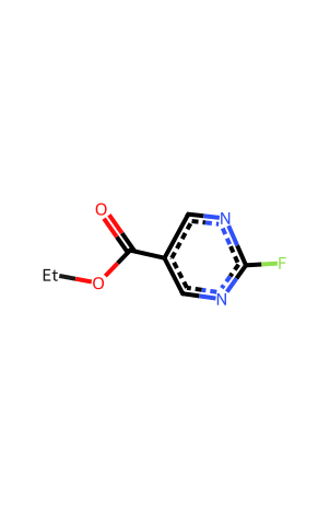 CCOC(=O)c1cnc(F)nc1